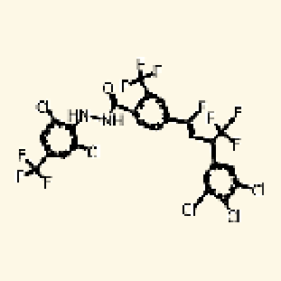 O=C(NNc1c(Cl)cc(C(F)(F)F)cc1Cl)c1ccc(C(F)=CC(c2cc(Cl)c(Cl)c(Cl)c2)C(F)(F)F)cc1C(F)(F)F